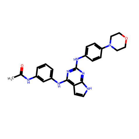 CC(=O)Nc1cccc(Nc2nc(Nc3ccc(N4CCOCC4)cc3)nc3[nH]ccc23)c1